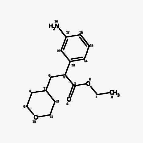 CCOC(=O)C(CC1CCOCC1)c1cccc(N)c1